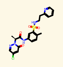 Cc1ccc(NC(=O)[C@H](C)n2ncc(Cl)cc2=O)cc1S(=O)(=O)NCCc1ccccn1